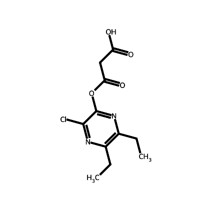 CCc1nc(Cl)c(OC(=O)CC(=O)O)nc1CC